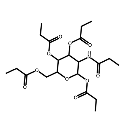 CCC(=O)NC1C(OC(=O)CC)OC(COC(=O)CC)C(OC(=O)CC)C1OC(=O)CC